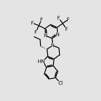 CCC[C@H]1c2[nH]c3ccc(Cl)cc3c2CCN1c1nc(C(F)(F)F)cc(C(F)(F)F)n1